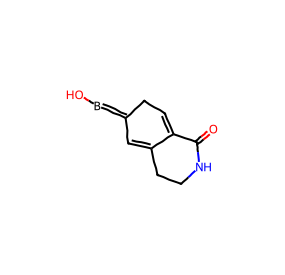 O=C1NCCC2=C/C(=B/O)CC=C12